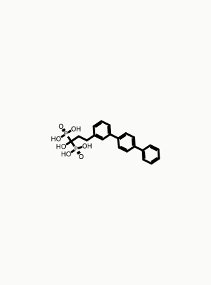 O=P(O)(O)C(O)(CCc1cccc(-c2ccc(-c3ccccc3)cc2)c1)P(=O)(O)O